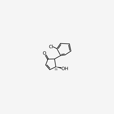 O=C1C=C[C@H](O)C1c1ccccc1Cl